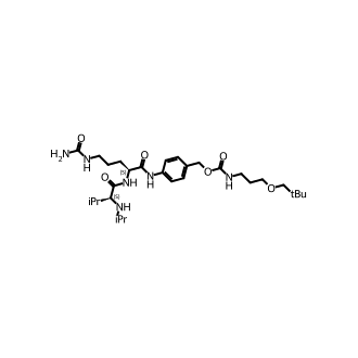 CC(C)N[C@H](C(=O)N[C@@H](CCCNC(N)=O)C(=O)Nc1ccc(COC(=O)NCCCOCC(C)(C)C)cc1)C(C)C